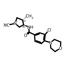 C[C@H]1CN(C#N)C[C@@H]1NC(=O)c1ccc(N2CCOCC2)c(Cl)c1